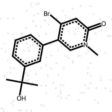 Cn1cc(-c2cccc(C(C)(C)O)c2)c(Br)cc1=O